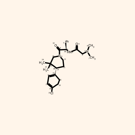 CC(C)[C@@H](NC(=O)CN(C)C)C(=O)N1CC[C@H](C2=CC=C(Cl)CC2)C(C)(C)C1